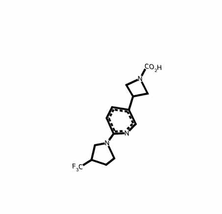 O=C(O)N1CC(c2ccc(N3CCC(C(F)(F)F)C3)nc2)C1